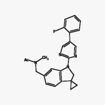 CC(=O)N(C)Cc1ccc2c(c1)N(c1ncc(-c3ccccc3F)cn1)CC21CC1